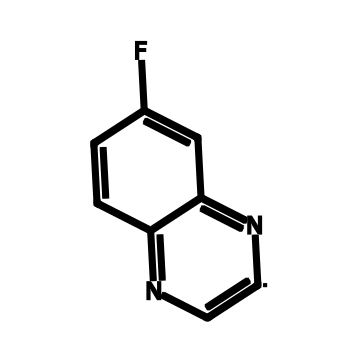 Fc1ccc2nc[c]nc2c1